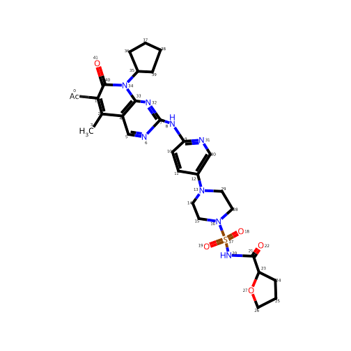 CC(=O)c1c(C)c2cnc(Nc3ccc(N4CCN(S(=O)(=O)NC(=O)C5CCCO5)CC4)cn3)nc2n(C2CCCC2)c1=O